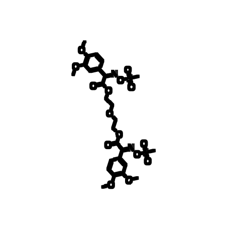 COc1ccc(C(=NOS(C)(=O)=O)C(=O)OCCOCCOC(=O)C(=NOS(C)(=O)=O)c2ccc(OC)c(OC)c2)cc1OC